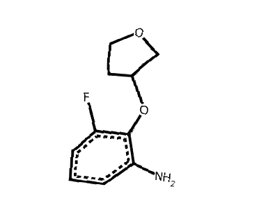 Nc1cccc(F)c1OC1CCOC1